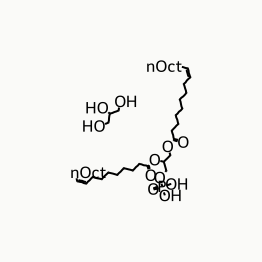 CCCCCCCC/C=C\CCCCCCCC(=O)OCC(COP(=O)(O)O)OC(=O)CCCCCCC/C=C\CCCCCCCC.OCC(O)CO